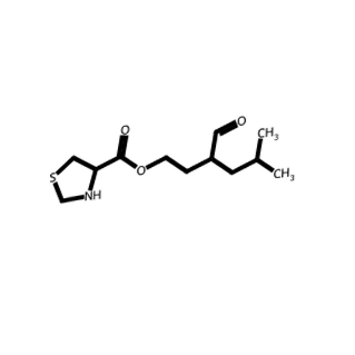 CC(C)CC(C=O)CCOC(=O)C1CSCN1